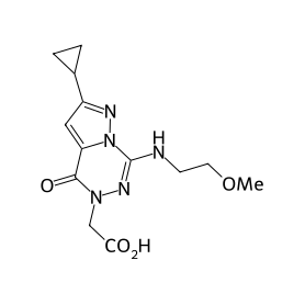 COCCNc1nn(CC(=O)O)c(=O)c2cc(C3CC3)nn12